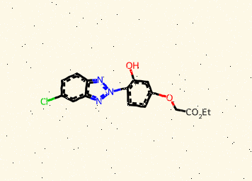 CCOC(=O)COc1ccc(-n2nc3ccc(Cl)cc3n2)c(O)c1